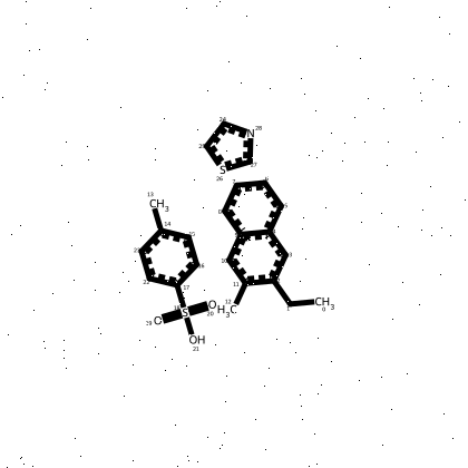 CCc1cc2ccccc2cc1C.Cc1ccc(S(=O)(=O)O)cc1.c1cscn1